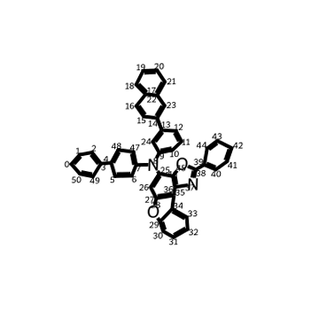 c1ccc(-c2ccc(N(c3cccc(-c4ccc5ccccc5c4)c3)c3cc4oc5ccccc5c4c4nc(-c5ccccc5)oc34)cc2)cc1